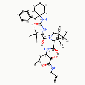 C=CCNC(=O)C(=O)C(CCC)NC(=O)[C@@H]1[C@@H]2[C@H](CN1C(=O)[C@@H](NC(=O)NC1(Cc3ccccc3)CCCCC1)C(C)(C)C)C2(C)C